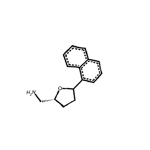 NC[C@H]1CCC(c2cccc3ccccc23)O1